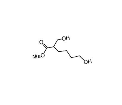 COC(=O)C(CO)CCCCO